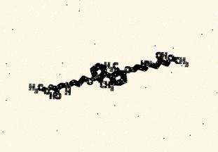 COCC(O)CNCCCOc1cccc(-c2cccc(OCCCNCC(O)COC)c2C)c1C